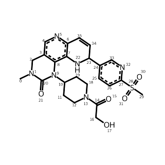 CN1Cc2cnc3c(c2N(C2CCN(C(=O)CO)CC2)C1=O)NC(c1ccc(S(C)(=O)=O)nc1)C=C3